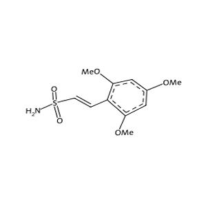 COc1cc(OC)c(C=CS(N)(=O)=O)c(OC)c1